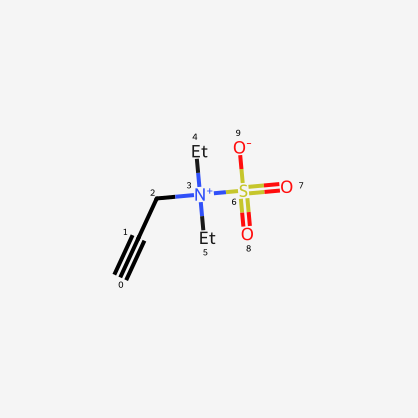 C#CC[N+](CC)(CC)S(=O)(=O)[O-]